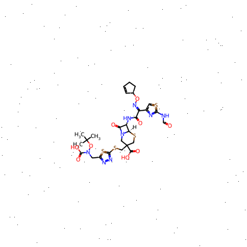 CC(C)(C)ON(Cc1nnc(SCC2(C(=O)O)CS[C@@H]3C(NC(=O)C(=NOC4C=CCC4)c4csc(NC=O)n4)C(=O)N3C2)s1)C(=O)O